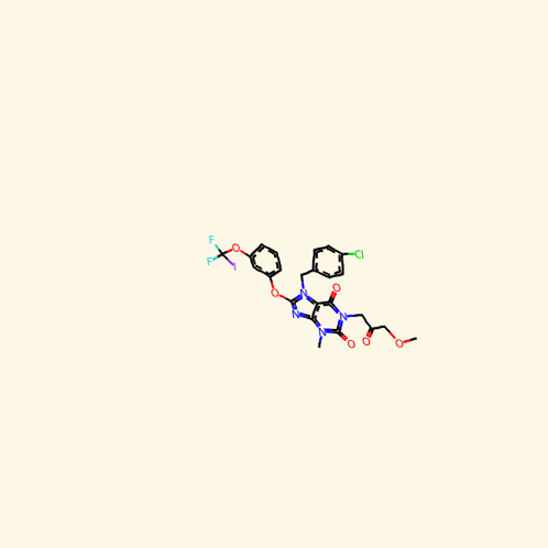 COCC(=O)Cn1c(=O)c2c(nc(Oc3cccc(OC(F)(F)I)c3)n2Cc2ccc(Cl)cc2)n(C)c1=O